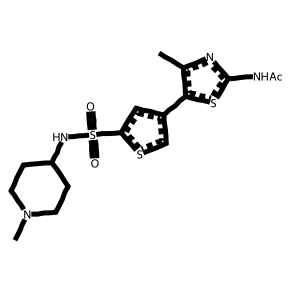 CC(=O)Nc1nc(C)c(-c2csc(S(=O)(=O)NC3CCN(C)CC3)c2)s1